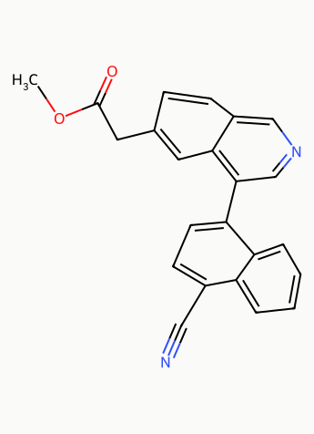 COC(=O)Cc1ccc2cncc(-c3ccc(C#N)c4ccccc34)c2c1